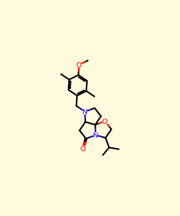 COc1cc(C)c(CN2CCC34OCC(C(C)C)N3C(=O)CC24)cc1C